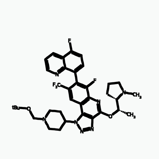 C[C@H](Oc1nc2c(F)c(-c3ccc(F)c4cccnc34)c(C(F)(F)F)cc2c2c1nnn2C1CCN(COC(C)(C)C)CC1)[C@@H]1CCCN1C